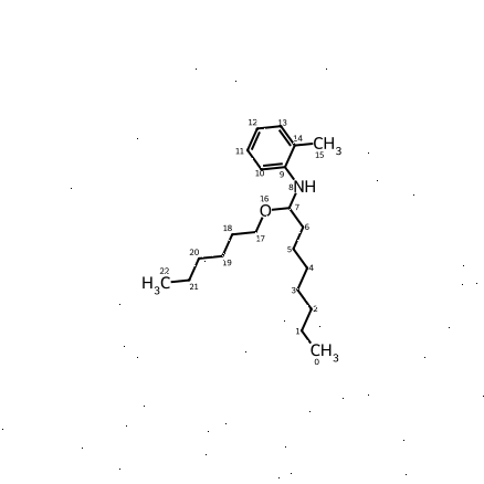 CCCCCCCC(Nc1ccccc1C)OCCCCCC